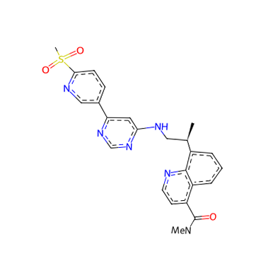 CNC(=O)c1ccnc2c([C@H](C)CNc3cc(-c4ccc(S(C)(=O)=O)nc4)ncn3)cccc12